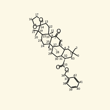 CC1(C)CC2C3=CC(=O)C4[C@@]5(C)CCC6(OCCO6)C(C)(C)C5CC[C@@]4(C)[C@]3(C)CCC2[C@H](C(=O)OCc2ccccc2)C1